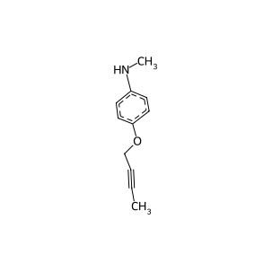 CC#CCOc1ccc(NC)cc1